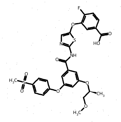 COC[C@H](C)Oc1cc(Oc2ccc(S(C)(=O)=O)cc2)cc(C(=O)Nc2ncc(Oc3cc(C(=O)O)ccc3F)s2)c1